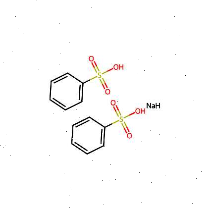 O=S(=O)(O)c1ccccc1.O=S(=O)(O)c1ccccc1.[NaH]